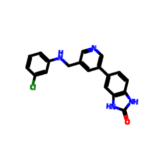 O=c1[nH]c2ccc(-c3cncc(CNc4cccc(Cl)c4)c3)cc2[nH]1